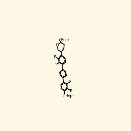 CCCCCCCc1ccc(-c2ccc(-c3ccc(C4CCC(CCCCC)OC4)c(F)c3F)cc2)c(F)c1F